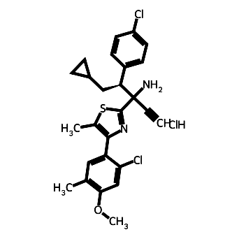 C#CC(N)(c1nc(-c2cc(C)c(OC)cc2Cl)c(C)s1)[C@@H](CC1CC1)c1ccc(Cl)cc1.Cl